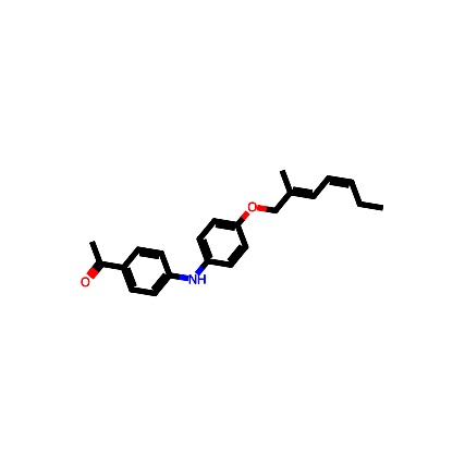 CC/C=C\C=C(/C)COc1ccc(Nc2ccc(C(C)=O)cc2)cc1